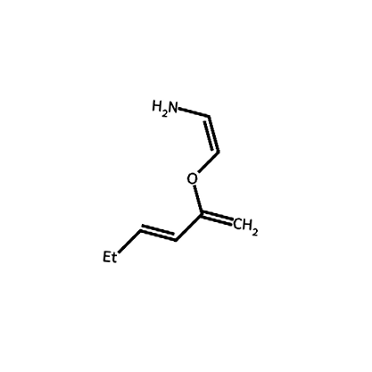 C=C(/C=C/CC)O/C=C\N